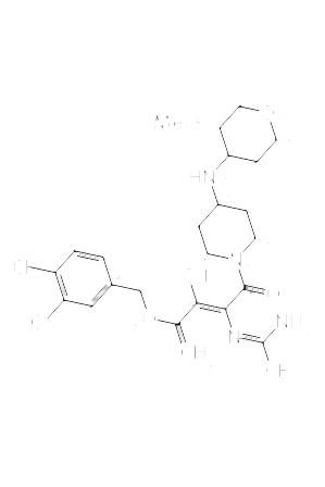 C=C(OCc1ccc(Cl)c(Cl)c1)/C(C)=C(\N=C(/N)C(F)(F)F)C(=O)N1CCC(NC2CCOC[C@H]2OC)CC1